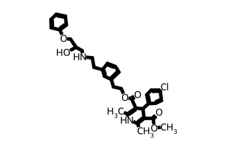 COC(=O)C1=C(C)NC(C)=C(C(=O)OCCc2cccc(CCNCC(O)COc3ccccc3)c2)C1c1ccc(Cl)cc1